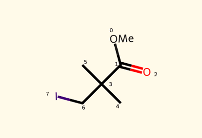 [CH2]OC(=O)C(C)(C)CI